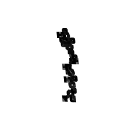 N#Cc1ccc(O[C@H]2CC[C@H](NC(=O)c3ccc(NCCNCC(=O)N4Cc5cc6c(cc5C4)C(=O)N(C4CCC(=O)NC4=O)C6=O)nc3)CC2)cc1Cl